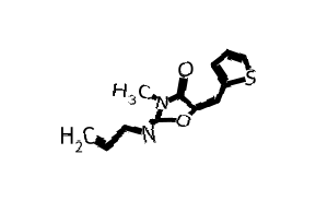 C=CC/N=C1/O/C(=C/c2cccs2)C(=O)N1C